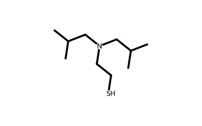 CC(C)CN(CCS)CC(C)C